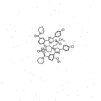 CCOc1ccc(C(=O)N2CCCCC2)cc1C1=NC(c2ccc(Cl)cc2)CN1[C@H]1CN(C=O)CC[N@@+]1(CCS(C)(=O)=O)N1CC(c2ccc(Cl)cc2)N=C1c1cc(C(=O)N2CCCCC2)ccc1OCC